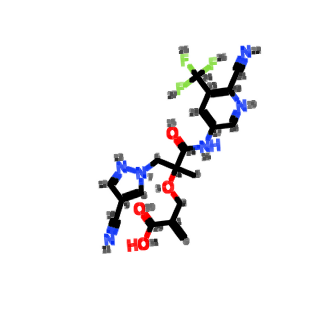 C=C(COC(C)(Cn1cc(C#N)cn1)C(=O)Nc1cnc(C#N)c(C(F)(F)F)c1)C(=O)O